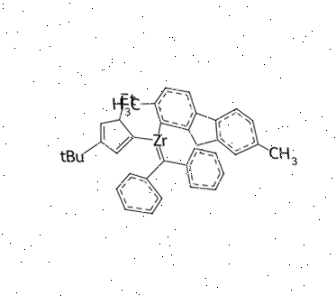 CCC1C=C(C(C)(C)C)C=[C]1[Zr](=[C](c1ccccc1)c1ccccc1)[c]1c(C)ccc2c1Cc1cc(C)ccc1-2